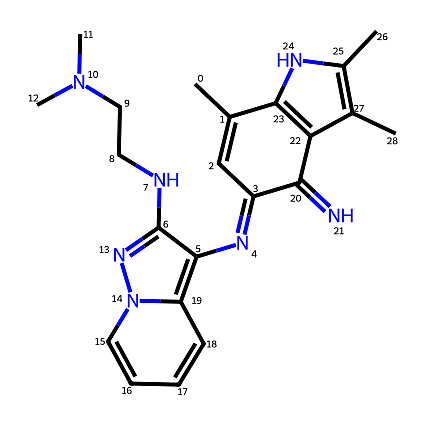 CC1=C/C(=N\c2c(NCCN(C)C)nn3ccccc23)C(=N)c2c1[nH]c(C)c2C